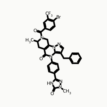 CC1Cc2c(n3ncc(Cc4ccccc4)c3n(-c3ccc(-c4nn(C)c(=O)[nH]4)cc3)c2=O)CN1C(=O)c1ccc(Br)c(C(F)(F)F)c1